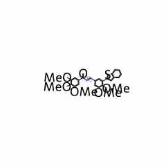 COc1cc(C(=O)/C=C/c2cc(OC)c(OC)c(-c3cc4ccccc4s3)c2)cc(OC)c1OC